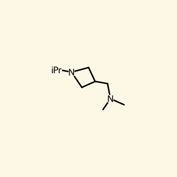 CC(C)N1CC(CN(C)C)C1